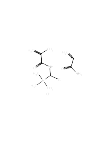 C=C(C)C(=O)NC(CC)[N+](C)(C)C.C=CC(N)=O.[Cl-]